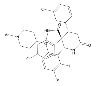 CC(=O)N1CCC(Oc2ccc(Br)c(F)c2[C@H]2NC(=O)C[C@@H](C3C=CC=C(Cl)C3)[C@]23C(=O)Nc2cc(Cl)ccc23)CC1